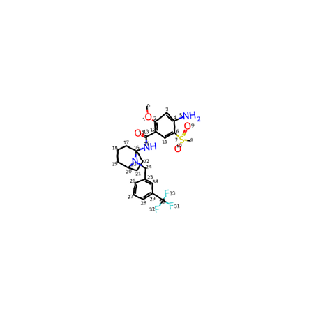 COc1cc(N)c(S(C)(=O)=O)cc1C(=O)NC12CCCC(CC1)N2Cc1cccc(C(F)(F)F)c1